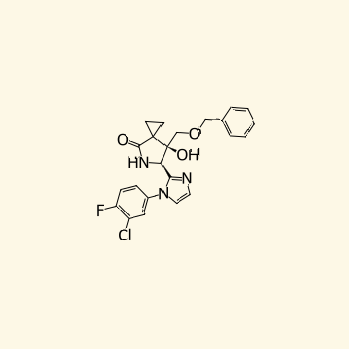 O=C1N[C@H](c2nccn2-c2ccc(F)c(Cl)c2)[C@@](O)(COCc2ccccc2)C12CC2